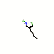 CCCCC(=CCl)CNBr